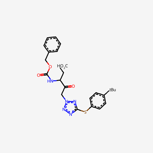 CC(C)(C)c1ccc(Sc2nnn(CC(=O)C(CC(=O)O)NC(=O)OCc3ccccc3)n2)cc1